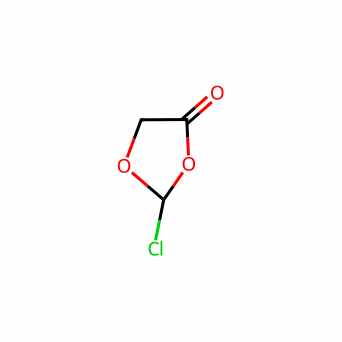 O=C1COC(Cl)O1